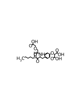 CCCCCNC(=O)C(Cc1ccc(OC(C(=O)O)C(=O)O)cc1)NC(=O)COCC(=O)O